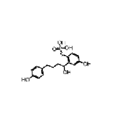 O=P(O)(O)Sc1ccc(O)cc1C(O)CCCc1ccc(O)cc1